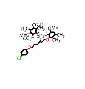 COc1c(C)c(C(=O)O)c(C)c(C)c1C(=O)O.COc1cc(C)c(C)c(OCCCCCCOc2ccc(Cl)cc2)c1C